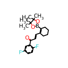 CC1(C)OB(C2=C(/C=C/C(=O)c3cc(F)ccc3F)CCCC2)OC1(C)C